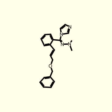 CN(C)N=C(c1ccccc1C=CCOCc1ccccc1)n1ccnc1